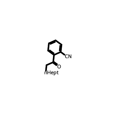 CCCCCCCCC(=O)c1ccccc1C#N